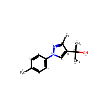 CC(C)c1nn(-c2ccc(C(F)(F)F)cc2)cc1C(C)(C)O